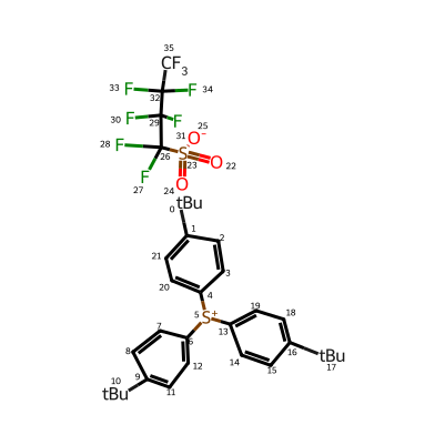 CC(C)(C)c1ccc([S+](c2ccc(C(C)(C)C)cc2)c2ccc(C(C)(C)C)cc2)cc1.O=S(=O)([O-])C(F)(F)C(F)(F)C(F)(F)C(F)(F)F